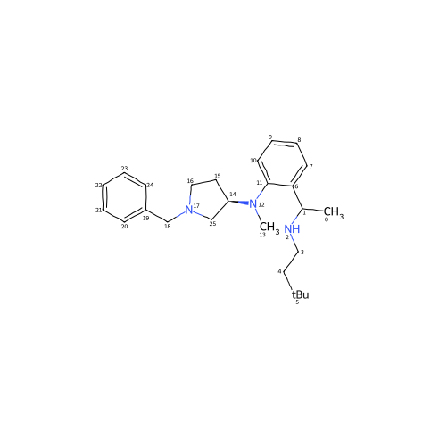 CC(NCCC(C)(C)C)c1ccccc1N(C)[C@@H]1CCN(Cc2ccccc2)C1